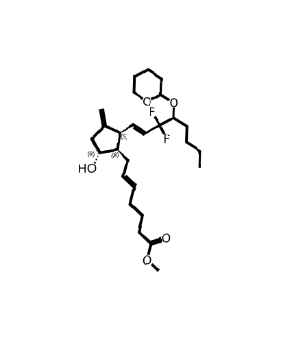 C=C1C[C@@H](O)[C@H](CC=CCCCC(=O)OC)[C@@H]1C=CC(F)(F)C(CCCC)OC1CCCCO1